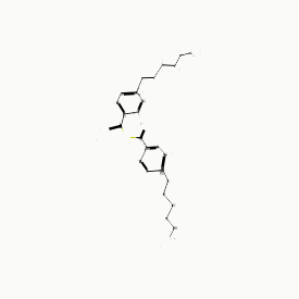 C=C(SC(=C)c1ccc(CCCCCC)cc1)c1ccc(CCCCCC)cc1